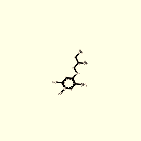 Nc1c[n+]([O-])c(O)cc1OCC(O)CO